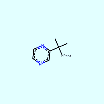 CCCCCC(C)(C)c1cnccn1